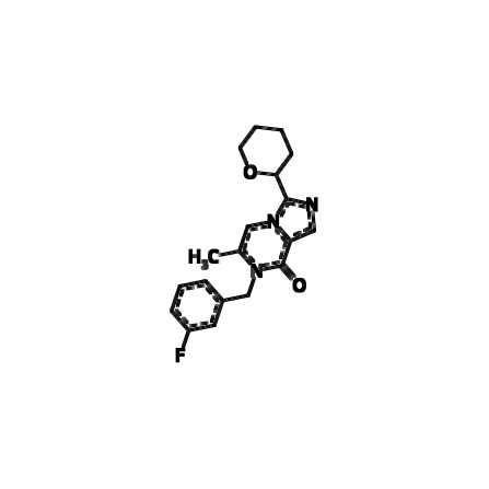 Cc1cn2c(C3CCCCO3)ncc2c(=O)n1Cc1cccc(F)c1